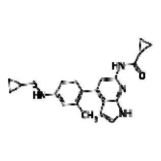 Cc1cc(NSC2CC2)ccc1-c1cc(NC(=O)C2CC2)nc2[nH]ccc12